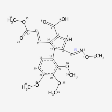 CO/N=C/c1[nH]c(C(=O)O)c(C=CC(=O)OC)c1-c1ccc(OC)c(OC)c1OC